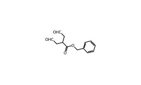 O=CCC(CC=O)C(=O)OCc1ccccc1